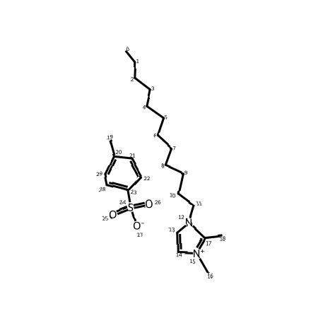 CCCCCCCCCCCCn1cc[n+](C)c1C.Cc1ccc(S(=O)(=O)[O-])cc1